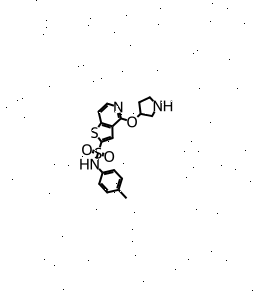 Cc1ccc(NS(=O)(=O)c2cc3c(OC4CCNC4)nccc3s2)cc1